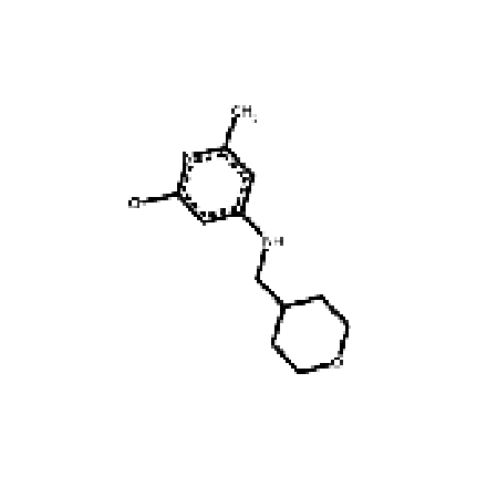 Cc1cc(NCC2CCOCC2)cc(Cl)n1